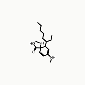 CCCCCC(CC)C1C=C(NC)C=CC1(NC)C(=O)O